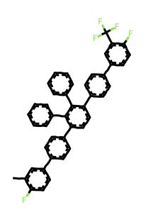 Cc1cc(-c2ccc(-c3ccc(-c4ccc(-c5ccc(F)c(C(F)(F)F)c5)cc4)c(-c4ccccc4)c3-c3ccccc3)cc2)ccc1F